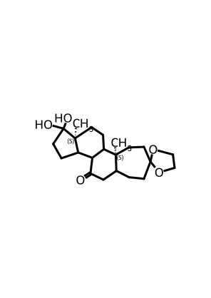 C[C@]12CCC3(CCC1CC(=O)C1C2CC[C@@]2(C)C1CCC2(O)O)OCCO3